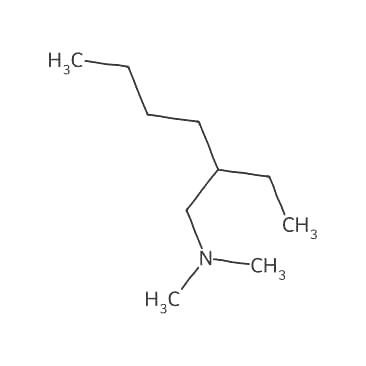 CCCCC(CC)CN(C)C